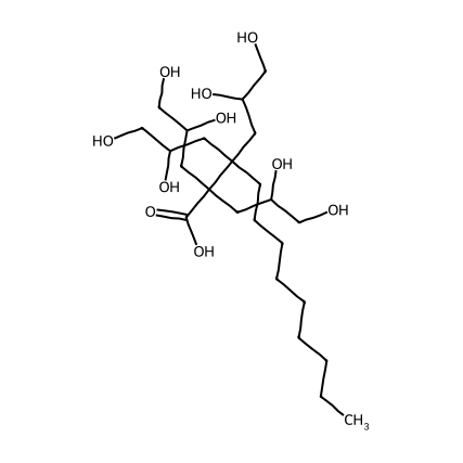 CCCCCCCCCC(CC(O)CO)(CC(O)CO)C(CC(O)CO)(CC(O)CO)C(=O)O